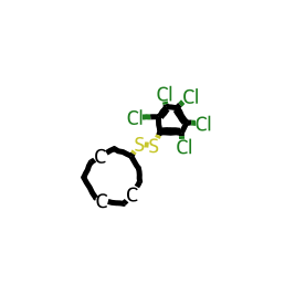 Clc1c(Cl)c(Cl)c(SSC2CCCCCCCCCC2)c(Cl)c1Cl